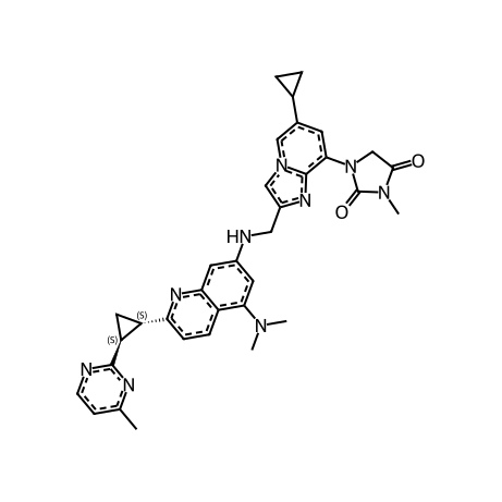 Cc1ccnc([C@H]2C[C@@H]2c2ccc3c(N(C)C)cc(NCc4cn5cc(C6CC6)cc(N6CC(=O)N(C)C6=O)c5n4)cc3n2)n1